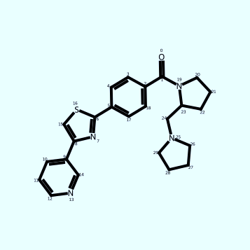 O=C(c1ccc(-c2nc(-c3cccnc3)cs2)cc1)N1CCCC1CN1CCCC1